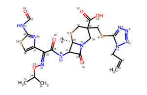 C=CCn1nnnc1SCC1(C(=O)O)CS[C@@H]2C(NC(=O)C(=NOC(C)C)c3csc(NC=O)n3)C(=O)N2C1